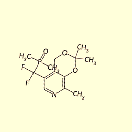 Cc1ncc(C(F)(F)P(C)(C)=O)c2c1OC(C)(C)OC2